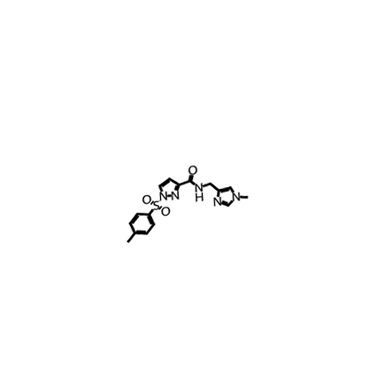 Cc1ccc(S(=O)(=O)n2ccc(C(=O)NCc3cn(C)cn3)n2)cc1